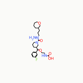 NN(CCCC1CCCCOC1)C(=O)N1CCCC([C@@H](OCCNC(=O)O)c2cccc(F)c2)C1